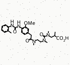 COc1cc(CC(=O)N(C)CCN(C)C(=O)N(C)CC(C)C(=O)O)ccc1NC(=O)Nc1ccccc1C